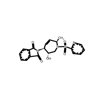 C[C@@H]1C=C[C@H](N2C(=O)c3ccccc3C2=O)[C@@H](O)CN1S(=O)(=O)c1ccccn1